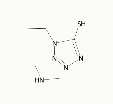 CCn1nnnc1S.CNC